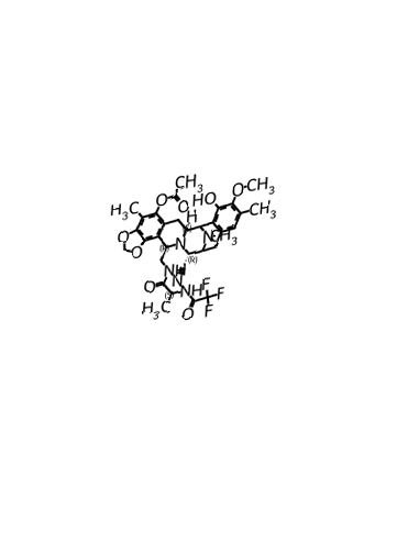 COc1c(C)cc2c(c1O)C1[C@@H]3Cc4c(OC(C)=O)c(C)c5c(c4[C@H](CNC(=O)[C@H](C)NC(=O)C(F)(F)F)N3[C@@H](C#N)C(C2)N1C)OCO5